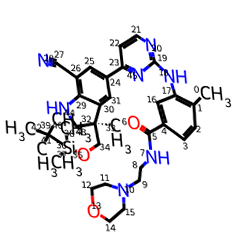 Cc1ccc(C(=O)NCCN2CCOCC2)cc1Nc1nccc(-c2cc(C#N)c3c(c2)[C@@](C)(CO[Si](C)(C)C(C)(C)C)CN3)n1